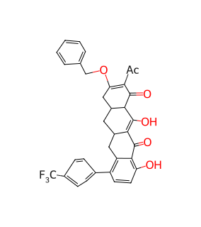 CC(=O)C1=C(OCc2ccccc2)CC2CC3Cc4c(-c5ccc(C(F)(F)F)cc5)ccc(O)c4C(=O)C3=C(O)C2C1=O